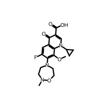 COc1c(N2CCON(C)CC2)c(F)cc2c(=O)c(C(=O)O)cn(C3CC3)c12